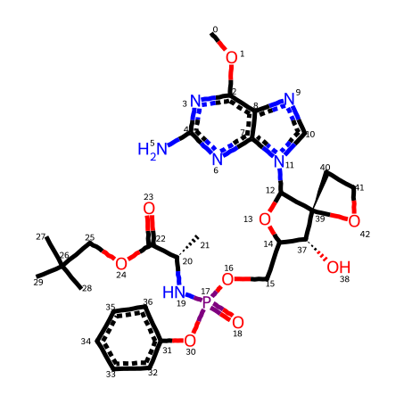 COc1nc(N)nc2c1ncn2C1OC(COP(=O)(N[C@@H](C)C(=O)OCC(C)(C)C)Oc2ccccc2)[C@@H](O)[C@]12CCO2